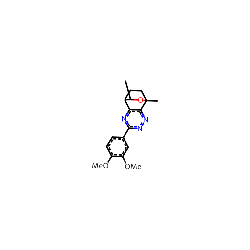 COc1ccc(-c2nnc3c(n2)C2CCC3(C)OC2C)cc1OC